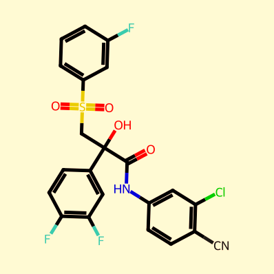 N#Cc1ccc(NC(=O)C(O)(CS(=O)(=O)c2cccc(F)c2)c2ccc(F)c(F)c2)cc1Cl